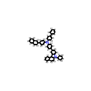 c1ccc(-c2ccc(N(c3ccc(-c4ccc5ccccc5c4)cc3)c3ccc(-c4ccc5c(c4)c4c6ccccc6ccc4n5-c4ccccc4)cc3)cc2)cc1